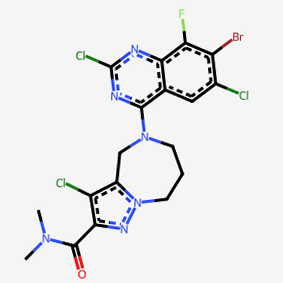 CN(C)C(=O)c1nn2c(c1Cl)CN(c1nc(Cl)nc3c(F)c(Br)c(Cl)cc13)CCC2